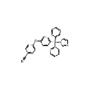 N#Cc1ccc(Oc2ccc(C(c3ccccc3)(c3ccccc3)n3ccnc3)cc2)cc1